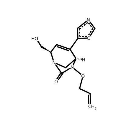 C=CCON1C(=O)N2C[C@H]1C(c1cnco1)=C[C@@H]2CO